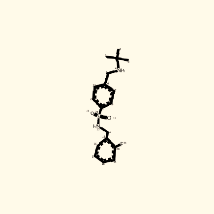 CC(C)(C)NCc1ccc(S(=O)(=O)NCc2ccccc2F)cc1